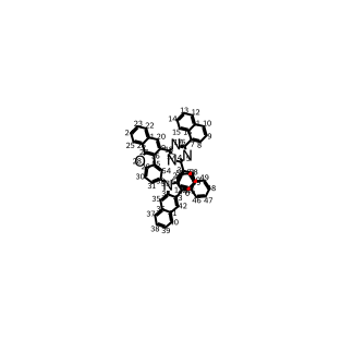 c1ccc(-c2nc(-c3cccc4ccccc34)nc(-c3cc4ccccc4c4oc5ccc(-n6c7cc8ccccc8cc7c7c8ccccc8ccc76)cc5c34)n2)cc1